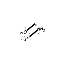 CO.N[SiH3]